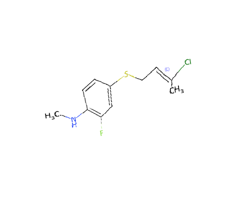 CNc1ccc(SC/C=C(\C)Cl)cc1F